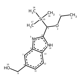 CCOC(c1nc2cc(CO)ccc2[nH]1)[Si](C)(C)C